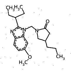 CCCC1CC(=O)N(Cn2c(C(CC)CC)nc3ccc(OC)cc32)C1